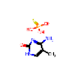 Cc1c[nH]c(=O)nc1N.OP(O)(O)=S